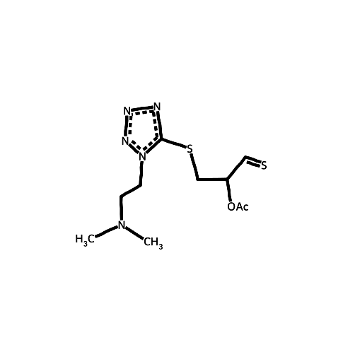 CC(=O)OC(C=S)CSc1nnnn1CCN(C)C